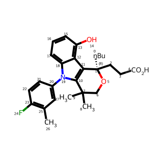 CCCC[C@]1(CCC(=O)O)OCC(C)(C)c2c1c1c(O)cccc1n2-c1ccc(F)c(C)c1